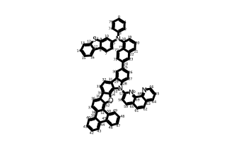 c1ccc(N(c2ccc3c(c2)sc2ccccc23)c2cccc3cc(-c4ccc5c(c4)c4ccc6c7ccc8c9ccccc9c9ccccc9c8c7oc6c4n5-c4ccc5ccc6cccnc6c5n4)ccc23)cc1